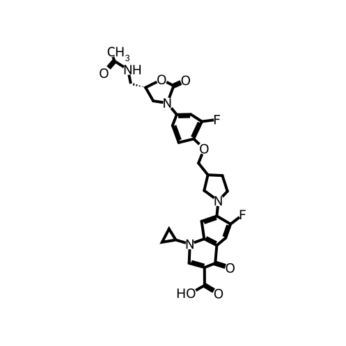 CC(=O)NC[C@H]1CN(c2ccc(OCC3CCN(c4cc5c(cc4F)c(=O)c(C(=O)O)cn5C4CC4)C3)c(F)c2)C(=O)O1